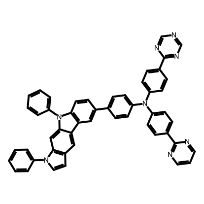 c1ccc(-n2ccc3cc4c5cc(-c6ccc(N(c7ccc(-c8ncccn8)cc7)c7ccc(-c8ncncn8)cc7)cc6)ccc5n(-c5ccccc5)c4cc32)cc1